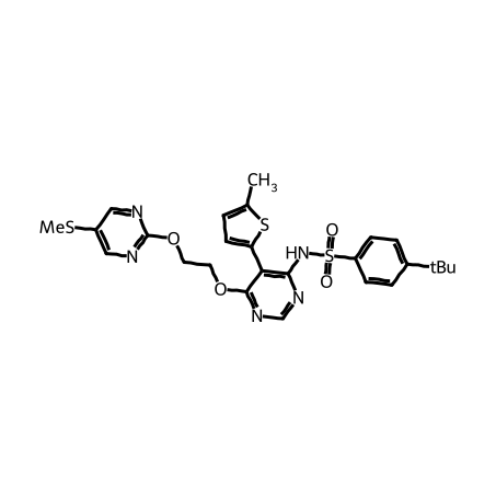 CSc1cnc(OCCOc2ncnc(NS(=O)(=O)c3ccc(C(C)(C)C)cc3)c2-c2ccc(C)s2)nc1